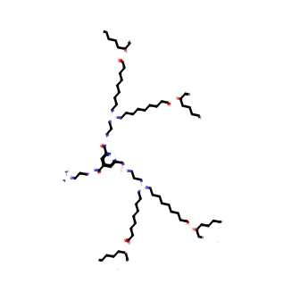 CCCCCC(CC)OC(=O)CCCCCCCCN(CCCCCCCCC(=O)OC(CC)CCCCC)CCCNC(=O)c1cc(C(=O)NCCCN(C)C)cc(C(=O)NCCCN(CCCCCCCCC(=O)OC(CC)CCCCC)CCCCCCCCC(=O)OC(CC)CCCCC)n1